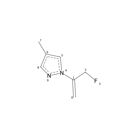 C=C(CF)n1cc(C)cn1